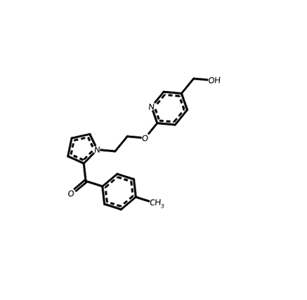 Cc1ccc(C(=O)c2cccn2CCOc2ccc(CO)cn2)cc1